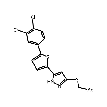 CC(=O)CSc1cc(-c2ccc(-c3ccc(Cl)c(Cl)c3)s2)[nH]n1